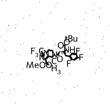 COC(=O)c1nc(C(F)(F)F)n2c1C(C)N(C(=O)C[C@@H](Cc1cc(F)c(F)cc1F)NC(=O)OC(C)(C)C)CC2